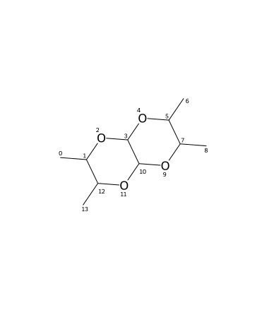 CC1OC2OC(C)C(C)OC2OC1C